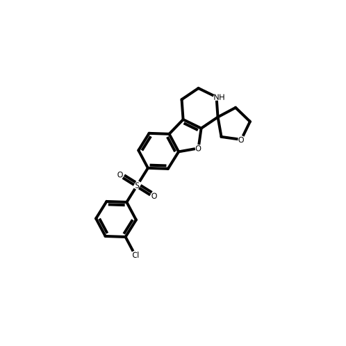 O=S(=O)(c1cccc(Cl)c1)c1ccc2c3c(oc2c1)C1(CCOC1)NCC3